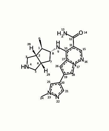 C[C@@H]1[C@H]2CNC[C@H]2C[C@H]1Nc1c(C(N)=O)cnn2cc(-c3cnn(C)c3)cc12